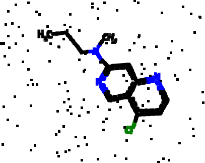 CCCN(C)c1cc2nccc(Cl)c2cn1